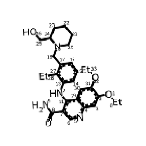 CCOc1cc2ncc(C(N)=O)c(Nc3cccc(CN4CCCCC4CO)c3CC)c2cc1OCC